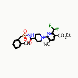 CCOC(=O)c1cc(C#N)c(N2CCC(C(=O)NS(=O)(=O)Cc3ccccc3C#N)CC2)nc1C(F)F